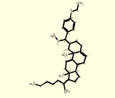 CCCCCC(C)C1CCC2C3CC=C4CCC(C(OO)c5ccc(OCC)cc5)CC4(C)C3CCC12C